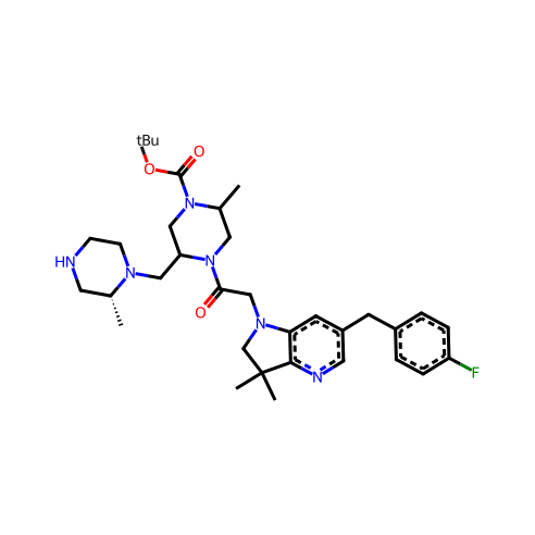 CC1CN(C(=O)CN2CC(C)(C)c3ncc(Cc4ccc(F)cc4)cc32)C(CN2CCNC[C@H]2C)CN1C(=O)OC(C)(C)C